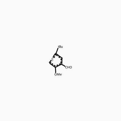 COc1ccc(C(C)(C)C)cc1C=O